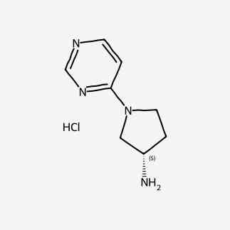 Cl.N[C@H]1CCN(c2ccncn2)C1